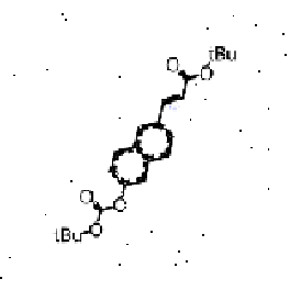 CC(C)(C)OC(=O)/C=C/c1ccc2cc(OC(=O)OC(C)(C)C)ccc2c1